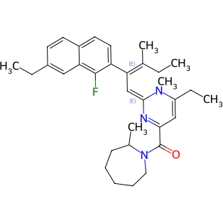 CCC1=CC(C(=O)N2CCCCCC2C)=N/C(=C/C(=C(/C)CC)c2ccc3ccc(CC)cc3c2F)N1C